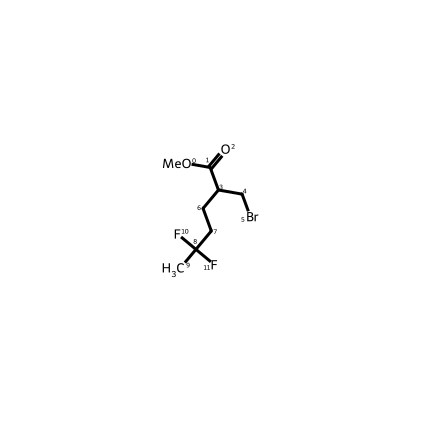 COC(=O)C(CBr)CCC(C)(F)F